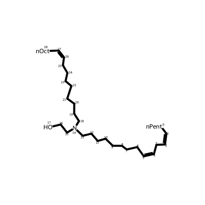 CCCCC/C=C\C/C=C\CCCCCCCCN(CCO)CCCCCCCC/C=C\CCCCCCCC